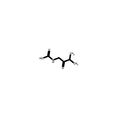 CC(C)C(=O)CNC(=O)O